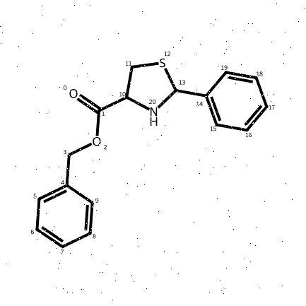 O=C(OCc1ccccc1)C1CSC(c2ccccc2)N1